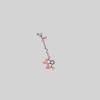 C=CC(=O)OCCCCCCCCOC(=O)c1cccc(C(=O)O)c1C(=O)O